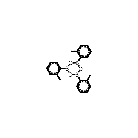 Cc1ccccc1B1OB(c2ccccc2C)OB(c2ccccc2C)O1